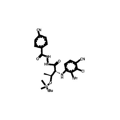 CCCc1c(N[C@@H](C(=O)NNC(=O)c2ccc(C#N)cc2)[C@H](C)O[Si](C)(C)C(C)(C)C)ccc(C#N)c1Cl